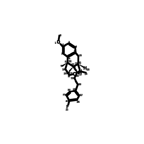 COc1ccc2c(c1)[C@]1(C)CCCN(C)[C@H](C2)[C@H]1NCCc1ccc(F)cc1